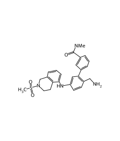 CNC(=O)c1cccc(-c2cc(Nc3cccc4c3CCN(S(C)(=O)=O)C4)ccc2CN)c1